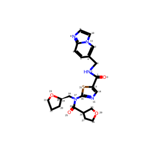 O=C(NCc1ccc2nccn2c1)c1cnc(N(C[C@H]2CCCO2)C(=O)C2CCOC2)s1